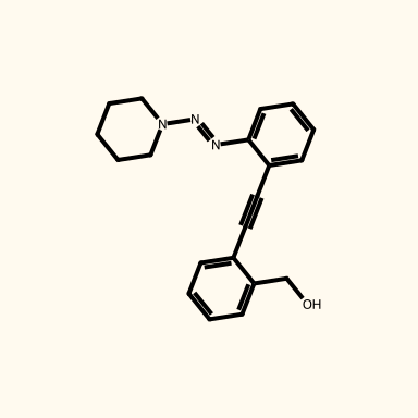 OCc1ccccc1C#Cc1ccccc1/N=N/N1CCCCC1